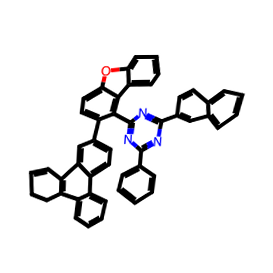 C1=Cc2c(c3ccccc3c3ccc(-c4ccc5oc6ccccc6c5c4-c4nc(-c5ccccc5)nc(-c5ccc6ccccc6c5)n4)cc23)CC1